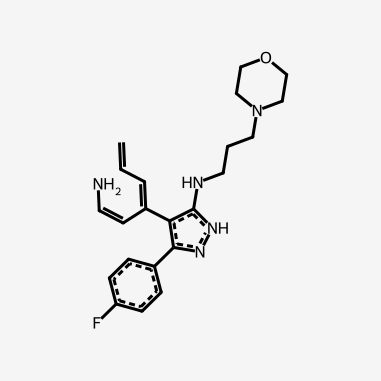 C=C/C=C(\C=C/N)c1c(-c2ccc(F)cc2)n[nH]c1NCCCN1CCOCC1